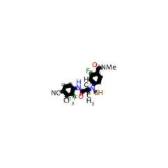 CNC(=O)c1ccc(N(S)C(C)(C)C(=O)Nc2ccc(C#N)c(C(F)(F)F)c2F)cc1F